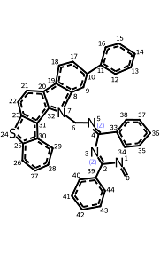 C=N/C(=N\C(=N/Cn1c2cc(-c3ccccc3)ccc2c2ccc3sc4ccccc4c3c21)c1ccccc1)c1ccccc1